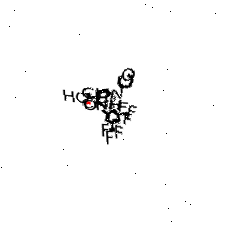 CC(C)(O)C1(C(=O)NCc2cc(C(F)(F)F)cc(C(F)(F)F)c2)C=CC(NC2CCOCC2)C1